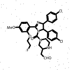 COc1ccc(C2=NC(c3ccc(Cl)cc3)C(c3ccc(Cl)cc3)N2C(=O)N2CCNC(CC=O)C2)c(OCCF)c1